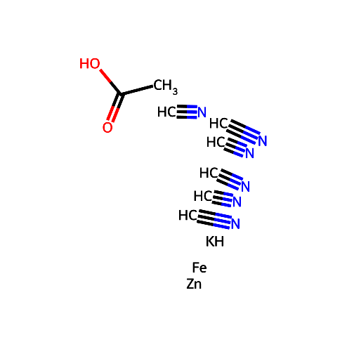 C#N.C#N.C#N.C#N.C#N.C#N.CC(=O)O.[Fe].[KH].[Zn]